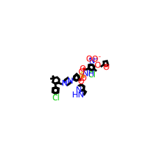 Cc1c(Cl)c(C(=O)NS(=O)(=O)c2ccc(N3CCN(CC4=C(c5ccc(Cl)cc5)CC(C)(C)CC4)CC3)cc2Oc2cnc3[nH]ccc3c2)cc([N+](=O)[O-])c1OCC1CCCO1